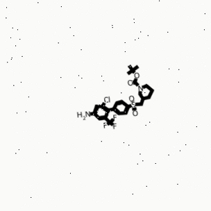 CC(C)(C)OC(=O)N1CCCC(CS(=O)(=O)c2ccc(-c3c(Cl)cc(N)cc3C(F)(F)F)cc2)C1